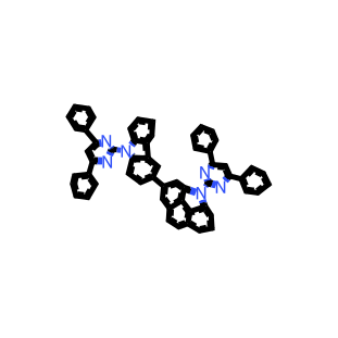 c1ccc(-c2cc(-c3ccccc3)nc(-n3c4ccccc4c4cc(-c5cc6ccc7cccc8c7c6c(c5)n8-c5nc(-c6ccccc6)cc(-c6ccccc6)n5)ccc43)n2)cc1